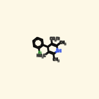 CCOC(=O)C1=C(C)NC(C)=C(C(=O)O)C1c1ccccc1Cl